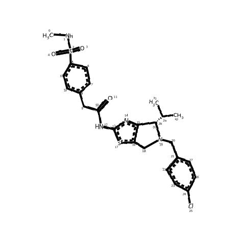 CNS(=O)(=O)c1ccc(CC(=O)Nc2nc3c(s2)CN(Cc2ccc(Cl)cc2)[C@H]3C(C)C)cc1